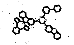 c1ccc(-c2cccc(-c3nc(-c4ccc5c(c4)-c4ccccc4C54c5ccccc5-c5ccccc5-c5ccccc54)cc(-c4ccc5c(c4)oc4ccccc45)n3)c2)cc1